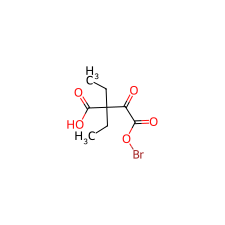 CCC(CC)(C(=O)O)C(=O)C(=O)OBr